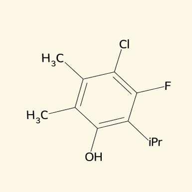 Cc1c(C)c(Cl)c(F)c(C(C)C)c1O